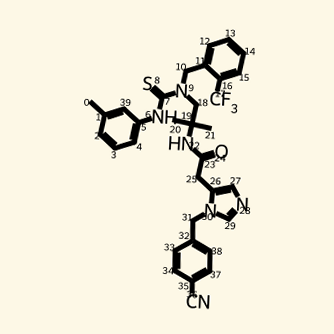 Cc1cccc(NC(=S)N(Cc2ccccc2C(F)(F)F)CC(C)(C)NC(=O)Cc2cncn2Cc2ccc(C#N)cc2)c1